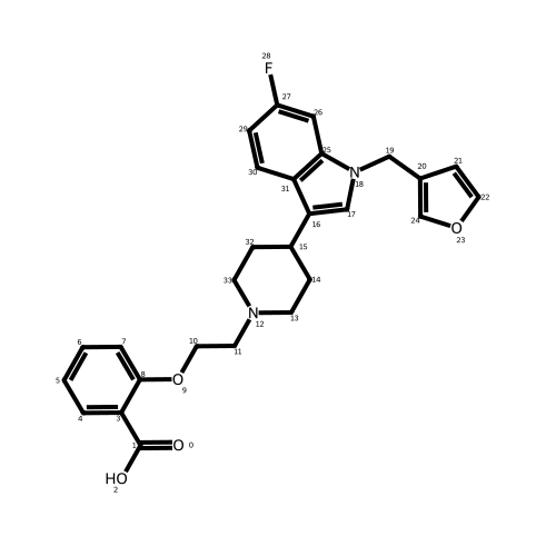 O=C(O)c1ccccc1OCCN1CCC(c2cn(Cc3ccoc3)c3cc(F)ccc23)CC1